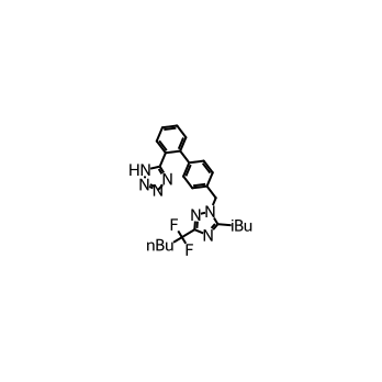 CCCCC(F)(F)c1nc(C(C)CC)n(Cc2ccc(-c3ccccc3-c3nnn[nH]3)cc2)n1